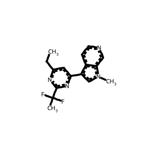 CCc1cc(-c2cn(C)c3cnccc23)nc(C(C)(F)F)n1